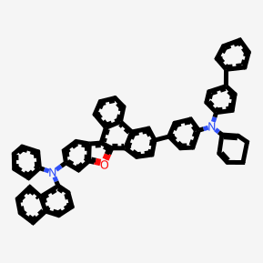 C1=CC(N(c2ccc(-c3ccccc3)cc2)c2ccc(-c3ccc4c(c3)c3ccccc3c3c5ccc(N(c6ccccc6)c6cccc7ccccc67)cc5oc43)cc2)=CCC1